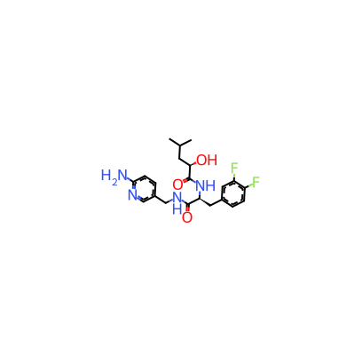 CC(C)C[C@@H](O)C(=O)N[C@@H](Cc1ccc(F)c(F)c1)C(=O)NCc1ccc(N)nc1